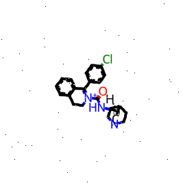 O=C(N[C@@H]1CN2CCC1CC2)[N+]1=C(c2ccc(Cl)cc2)c2ccccc2CC1